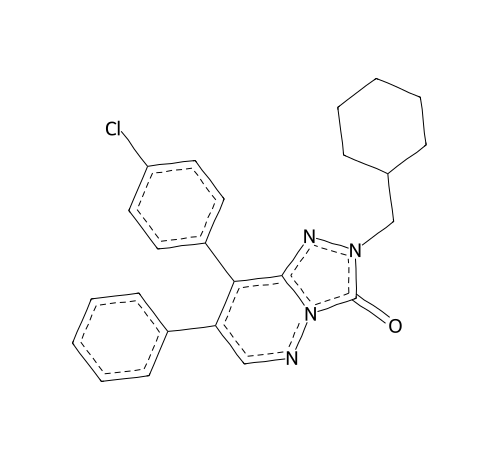 O=c1n(CC2CCCCC2)nc2c(-c3ccc(Cl)cc3)c(-c3ccccc3)cnn12